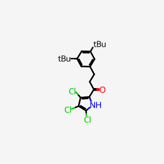 CC(C)(C)c1cc(CCC(=O)c2[nH]c(Cl)c(Cl)c2Cl)cc(C(C)(C)C)c1